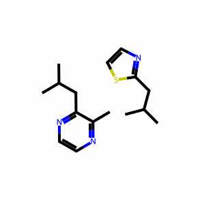 CC(C)Cc1nccs1.Cc1nccnc1CC(C)C